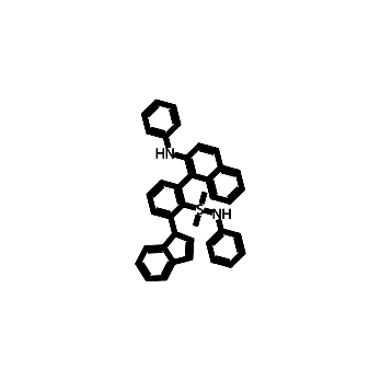 CS(C)(Nc1ccccc1)c1c(-c2c(Nc3ccccc3)ccc3ccccc23)cccc1C1C=Cc2ccccc21